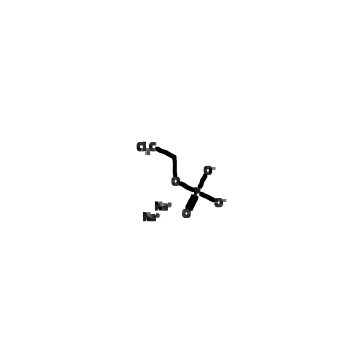 O=P([O-])([O-])OCC(Cl)(Cl)Cl.[Na+].[Na+]